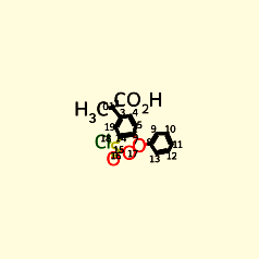 CC(C(=O)O)c1ccc(Oc2ccccc2)c(S(=O)(=O)Cl)c1